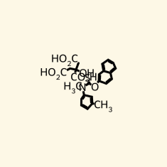 Cc1cccc(N(C)C(=S)Oc2ccc3ccccc3c2)c1.O=C(O)CC(O)(CC(=O)O)C(=O)O